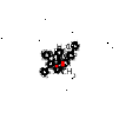 Cc1ccccc1-c1ccc2c3ccc(-c4ccccc4C)cc3n(-c3cccc4c3C(=O)N(c3c(-c5ccccc5)cc(-c5ccccc5)cc3-c3ccccc3)C4O)c2c1